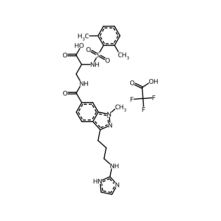 Cc1cccc(C)c1S(=O)(=O)NC(CNC(=O)c1ccc2c(CCCNc3ncc[nH]3)nn(C)c2c1)C(=O)O.O=C(O)C(F)(F)F